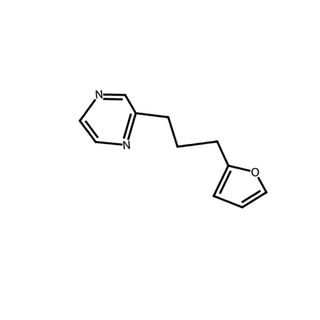 c1coc(CCCc2cnccn2)c1